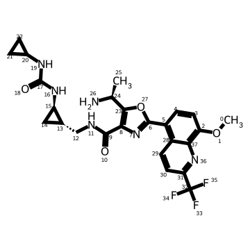 COc1ccc(-c2nc(C(=O)NC[C@@H]3C[C@H]3NC(=O)NC3CC3)c([C@H](C)N)o2)c2ccc(C(F)(F)F)nc12